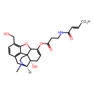 CN1CCC23c4c5ccc(CO)c4OC2C(OC(=O)CCNC(=O)/C=C/C(=O)O)=CC[C@@]3(O)[C@H]1C5